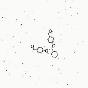 O=Cc1ccc(OCC2CCCCC2COc2ccc(C=O)cc2)cc1